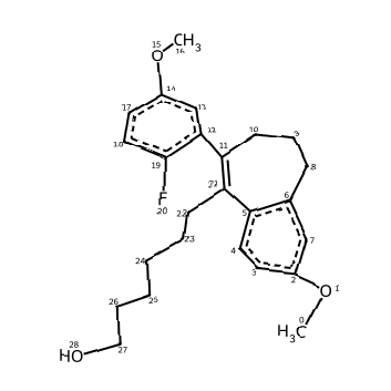 COc1ccc2c(c1)CCCC(c1cc(OC)ccc1F)=C2CCCCCCO